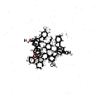 Cc1ccc2c(c1)c1cc(C)ccc1n2-c1c(C#N)c(-n2c3ccc(C)cc3c3cc(C)ccc32)c(-n2c3ccc(C)cc3c3cc(C)ccc32)c(-c2ccc3c(c2)C2(c4ccccc4-c4ccccc42)c2ccncc2-3)c1-n1c2ccc(C)cc2c2cc(C)ccc21